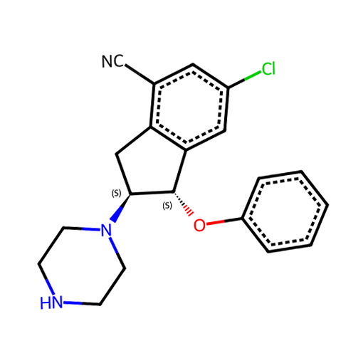 N#Cc1cc(Cl)cc2c1C[C@H](N1CCNCC1)[C@H]2Oc1ccccc1